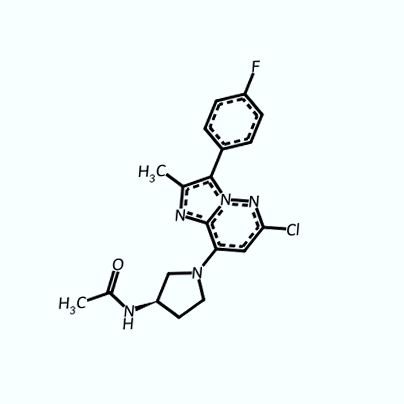 CC(=O)N[C@@H]1CCN(c2cc(Cl)nn3c(-c4ccc(F)cc4)c(C)nc23)C1